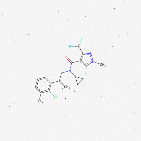 C=C(CN(C(=O)c1c(C(F)F)nn(C)c1F)C1CC1)c1cccc(C(F)(F)F)c1Cl